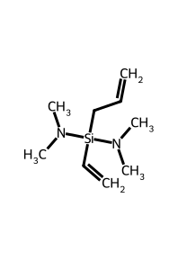 C=CC[Si](C=C)(N(C)C)N(C)C